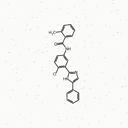 Cc1ccccc1C(=O)Nc1ccc(Cl)c(-c2ncc(-c3ccccc3)[nH]2)c1